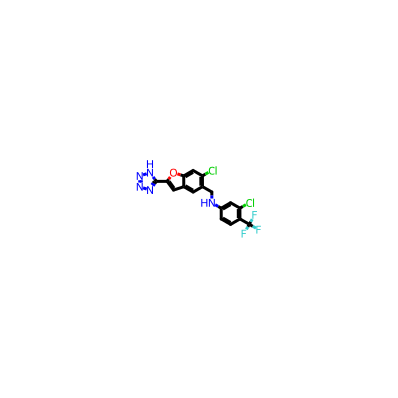 FC(F)(F)c1ccc(NCc2cc3cc(-c4nnn[nH]4)oc3cc2Cl)cc1Cl